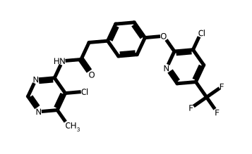 Cc1ncnc(NC(=O)Cc2ccc(Oc3ncc(C(F)(F)F)cc3Cl)cc2)c1Cl